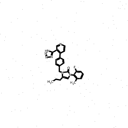 CCCc1cn(-c2c(C)cccc2F)c(=O)n1Cc1ccc(-c2ccncc2-c2nnn[nH]2)cc1